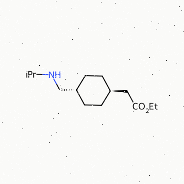 CCOC(=O)C[C@H]1CC[C@H](CNC(C)C)CC1